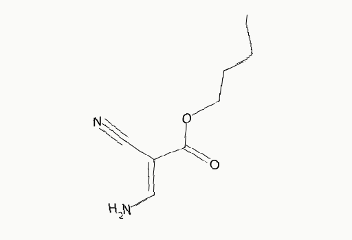 CCCCOC(=O)C(C#N)=CN